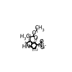 CCOC(=O)C(C)c1c[nH]c2ccc([N+](=O)[O-])cc12